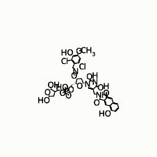 COc1cc(Cl)c(/C=N/OC2C[C@H](n3cc(CNC(=O)c4cc5c(O)cccc5cc4O)c(=O)[nH]c3=O)O[C@@H]2COP(=O)(O)OCC2C[C@H](O)O[C@@H]2O)c(Cl)c1O